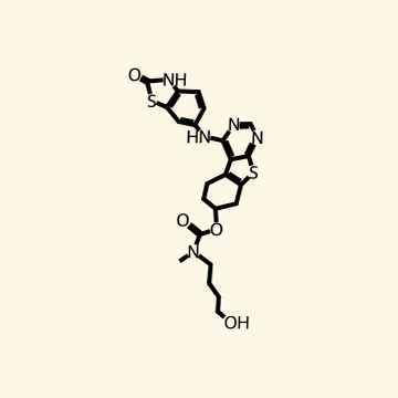 CN(CCCCO)C(=O)OC1CCc2c(sc3ncnc(Nc4ccc5[nH]c(=O)sc5c4)c23)C1